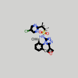 COc1cccc(OC)c1-n1c(NS(=O)(=O)[C@@H](C)[C@H](C)c2ncc(Cl)cn2)nnc1C1COC1